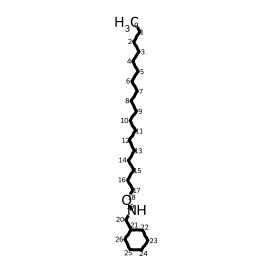 CCCCCCCCCCCCCCCCCCONCC1CCCCC1